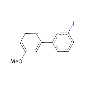 COC1=CC[CH]C(c2cccc(I)c2)=C1